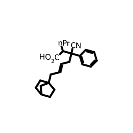 CCCC(C(=O)O)C(C#N)(CC=CCC12CCC(CC1)C2)c1ccccc1